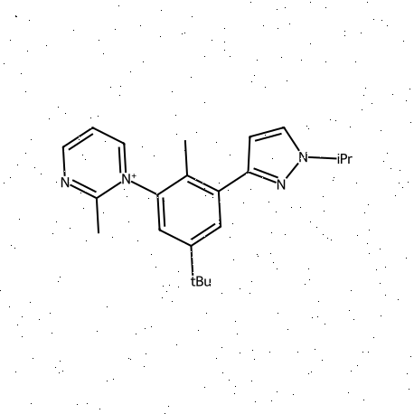 Cc1c(-c2ccn(C(C)C)n2)cc(C(C)(C)C)cc1-[n+]1cccnc1C